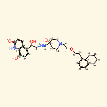 O=c1ccc2c(C(O)CNCC3(O)CCN(CCOCCc4cccc5c4CCCC5)CC3)ccc(O)c2[nH]1